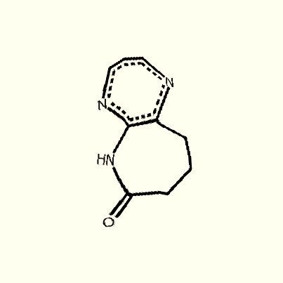 O=C1CCCc2nccnc2N1